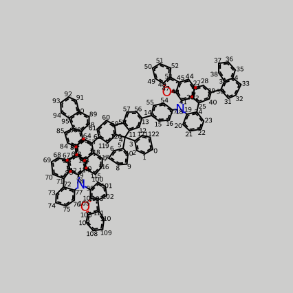 c1ccc(C2(c3ccccc3)c3cc(-c4ccc(N(c5ccccc5-c5cccc(-c6cccc7ccccc67)c5)c5cccc6c5oc5ccccc56)cc4)ccc3-c3ccc(-c4ccc(-c5cccc(-c6ccccc6N(c6ccc(-c7ccc8c(ccc9ccccc98)c7)cc6)c6cccc7c6oc6ccccc67)c5)c5ccccc45)cc32)cc1